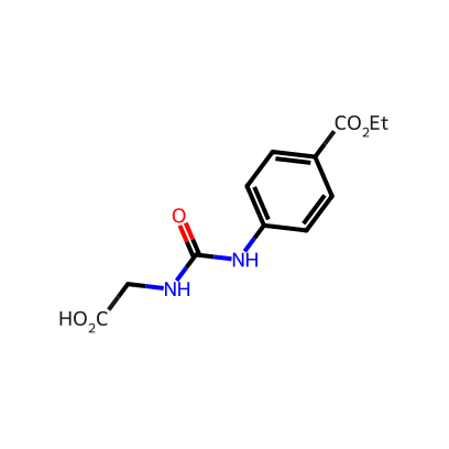 CCOC(=O)c1ccc(NC(=O)NCC(=O)O)cc1